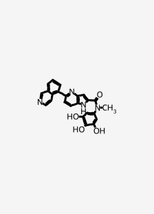 CN(C(=O)c1cc2nc(-c3cccc4cnccc34)ccc2[nH]1)c1cc(O)c(O)c(O)c1